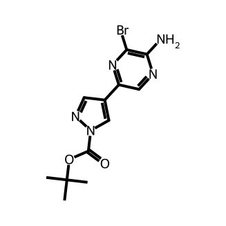 CC(C)(C)OC(=O)n1cc(-c2cnc(N)c(Br)n2)cn1